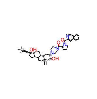 C[C@]12CCC3C(CC[C@H]4C[C@H](O)[C@@H](N5CCN(C(=O)[C@@H]6CCCN6C(=O)c6cc7ccccc7cn6)CC5)C[C@]34C)C1CC[C@@]2(O)C#C[Si](C)(C)C